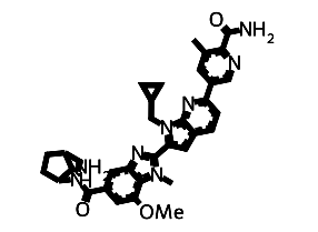 COc1cc(C(=O)N2CC3CCC2[C@@H]3N)cc2nc(-c3cc4ccc(-c5cnc(C(N)=O)c(C)c5)nc4n3CC3CC3)n(C)c12